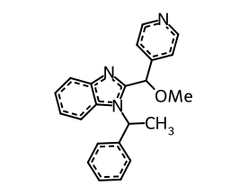 COC(c1ccncc1)c1nc2ccccc2n1C(C)c1ccccc1